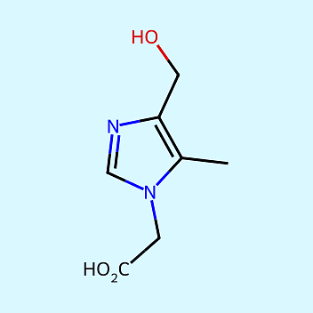 Cc1c(CO)ncn1CC(=O)O